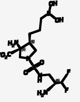 N[C@@H](CNS(=O)(=O)N1C[C@H](CCCB(O)O)[C@](N)(C(=O)O)C1)C(F)F